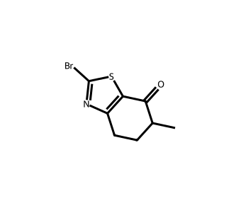 CC1CCc2nc(Br)sc2C1=O